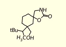 CC(C(C)(C)C)C1(CO)CCCC2(CNC(=O)O2)C1